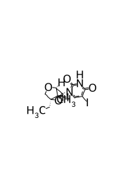 CC[C@@]12CO[C@@H]([C@H](n3cc(I)c(=O)[nH]c3=O)O1)[C@@H]2C